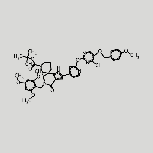 COc1ccc(COc2cnc(Oc3cc(-c4cc5c([nH]4)C4(CCCN(C(=O)OC(C)(C)C)C4)CN(Cc4c(OC)cc(OC)cc4OC)C5=O)ccn3)nc2Cl)cc1